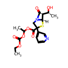 CCOC(=O)OC(C)OC(=O)C1(c2cccnc2)CN2C(=O)[C@H]([C@@H](C)O)[C@H]2S1